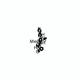 C=CC(=O)Nc1cc(Nc2ncc(C)c(Nc3ccccc3P(C)(C)=O)n2)c(OC)cc1N1CCC(N2CCN(C)CC2)CC1